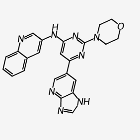 c1ccc2ncc(Nc3cc(-c4cnc5nc[nH]c5c4)nc(N4CCOCC4)n3)cc2c1